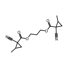 CC1CC1(C#N)C(=O)OCCCOC(=O)C1(C#N)CC1C